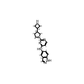 c1cc(Nc2ccc3[nH]ncc3c2)nc(N2CCC(C3CNC3)C2)n1